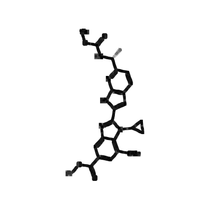 COc1cc(C(=O)OC(C)C)cc2nc(-c3cc4ccc([C@@H](C)NC(=O)OC(C)(C)C)nc4[nH]3)n(C3CC3)c12